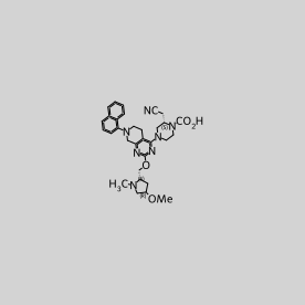 CO[C@@H]1C[C@@H](COc2nc3c(c(N4CCN(C(=O)O)[C@@H](CC#N)C4)n2)CCN(c2cccc4ccccc24)C3)N(C)C1